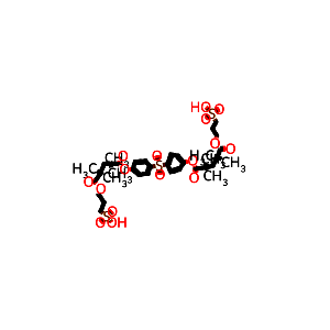 CC(C)(CC(C)(C)C(=O)Oc1ccc(S(=O)(=O)c2ccc(OC(=O)C(C)(C)CC(C)(C)C(=O)OCCCS(=O)(=O)O)cc2)cc1)C(=O)OCCCS(=O)(=O)O